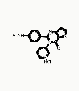 CC(=O)Nc1ccc(-c2nc3ccsc3c(=O)n2-c2cccnc2)cc1.Cl